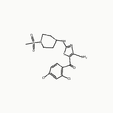 CS(=O)(=O)N1CCC(Nc2nc(N)c(C(=O)c3ccc(Cl)cc3Cl)s2)CC1